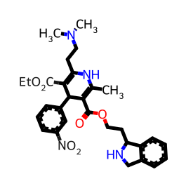 CCOC(=O)C1=C(CCN(C)C)NC(C)=C(C(=O)OCCC2NCc3ccccc32)C1c1cccc([N+](=O)[O-])c1